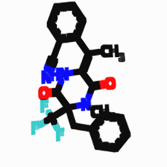 CC(=C1NC(=O)C(Cc2ccccc2)(C(F)(F)F)N(C)C1=O)c1ccccc1C#N